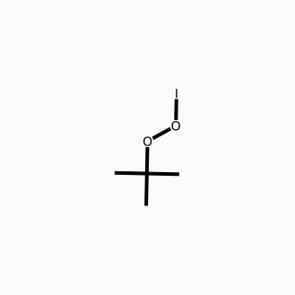 CC(C)(C)OOI